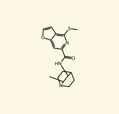 CSc1nc(C(=O)NC2C3CCN(CC3)C2C)cc2occc12